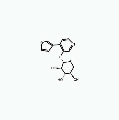 O[C@@H]1[C@@H](O)[C@H](Oc2cnccc2-c2ccoc2)SC[C@H]1O